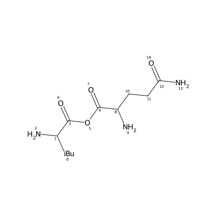 CCC(C)C(N)C(=O)OC(=O)C(N)CCC(N)=O